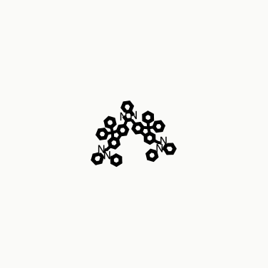 c1ccc(-n2c(-c3ccc4c(c3)C(c3ccccc3)(c3ccccc3)c3cc(-c5nc6ccccc6nc5-c5ccc6c(c5)C(c5ccccc5)(c5ccccc5)c5cc(-c7nc8ccccc8n7-c7ccccc7)ccc5-6)ccc3-4)nc3ccccc32)cc1